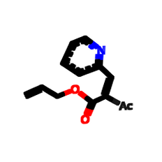 C=CCOC(=O)C(=Cc1ccccn1)C(C)=O